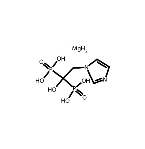 O=P(O)(O)C(O)(Cn1ccnc1)P(=O)(O)O.[MgH2]